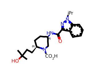 CC(C)n1nc(C(=O)N[C@@H]2CC[C@H](CCC(C)(C)O)N(C(=O)O)C2)c2ccccc21